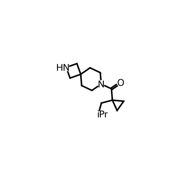 CC(C)CC1(C(=O)N2CCC3(CC2)CNC3)CC1